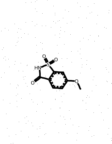 COc1ccc2c(c1)S(=O)(=O)NC2=O